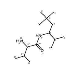 CC(C)C(CC(C)(C)C)NC(=O)C(N)C(C)C